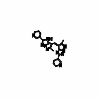 Cc1nn2nc(-c3cccnc3)[nH]c2c1/C=c1/c(C)nn2nc(-c3cccnc3)nc12